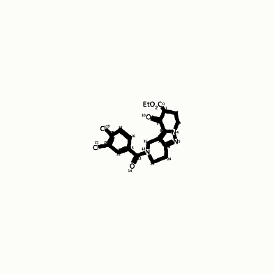 CCOC(=O)C1CCn2nc3c(c2C1=O)CN(C(=O)c1ccc(Cl)c(Cl)c1)CC3